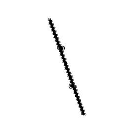 CCCCCCCCCCCCCCCCOC(=O)CCCCCCCCCCCCCCCCCCCCC(=O)OCCCCCCCCCCCCCCCC